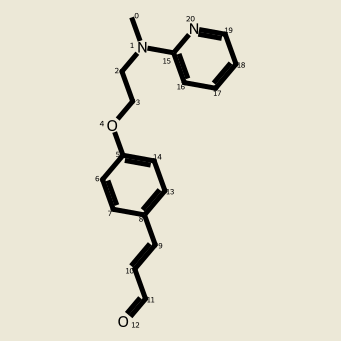 CN(CCOc1ccc(C=CC=O)cc1)c1ccccn1